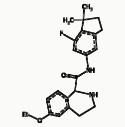 CCOc1ccc2c(c1)CCNC2C(=O)Nc1cc(F)c2c(c1)CCC2(C)C